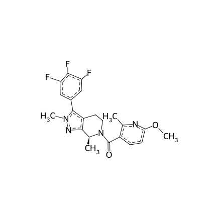 COc1ccc(C(=O)N2CCc3c(nn(C)c3-c3cc(F)c(F)c(F)c3)[C@@H]2C)c(C)n1